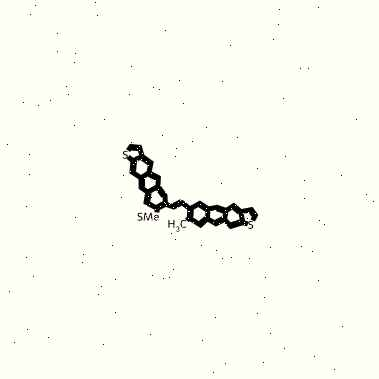 CSc1cc2cc3cc4sccc4cc3cc2cc1/C=C/c1cc2cc3cc4ccsc4cc3cc2cc1C